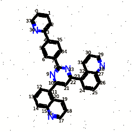 c1ccc(-c2ccc(-c3nc(-c4cccc5ncccc45)cc(-c4cccc5ncccc45)n3)cc2)nc1